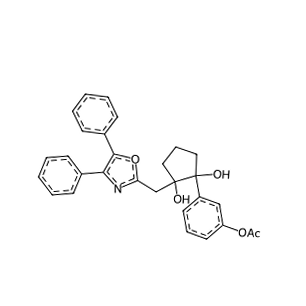 CC(=O)Oc1cccc(C2(O)CCCC2(O)Cc2nc(-c3ccccc3)c(-c3ccccc3)o2)c1